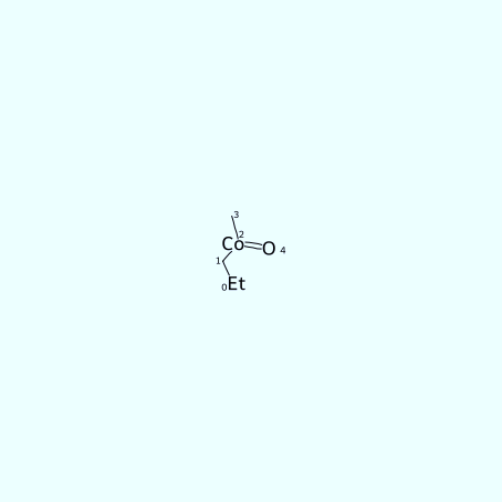 CC[CH2][Co]([CH3])=[O]